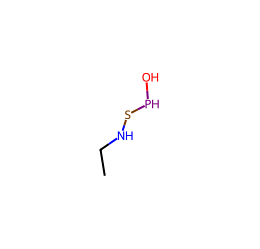 CCNSPO